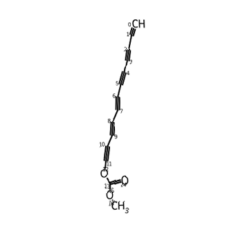 C#CC#CC#CC#CC#CC#COC(=O)OC